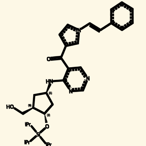 CC(C)[Si](O[C@H]1C[C@H](Nc2ncncc2C(=O)c2ccn(C=Cc3ccccc3)c2)C[C@@H]1CO)(C(C)C)C(C)C